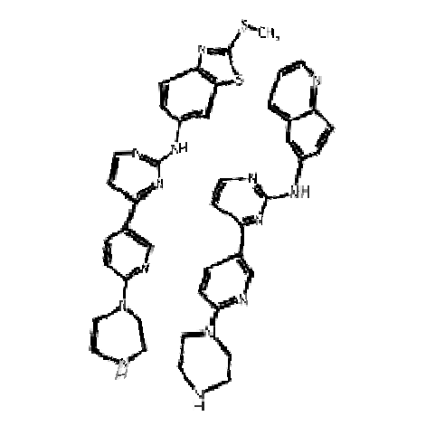 CSc1nc2ccc(Nc3nccc(-c4ccc(N5CCNCC5)nc4)n3)cc2s1.c1cnc2ccc(Nc3nccc(-c4ccc(N5CCNCC5)nc4)n3)cc2c1